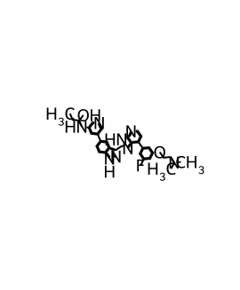 CCC(O)Nc1cncc(-c2ccc3[nH]nc(-c4nc5c(-c6cc(F)cc(OCCN(C)C)c6)ccnc5[nH]4)c3c2)c1